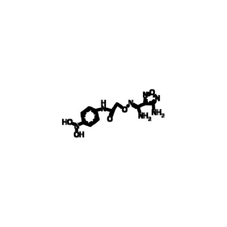 N/C(=N\OCC(=O)Nc1ccc(N(O)O)cc1)c1nonc1N